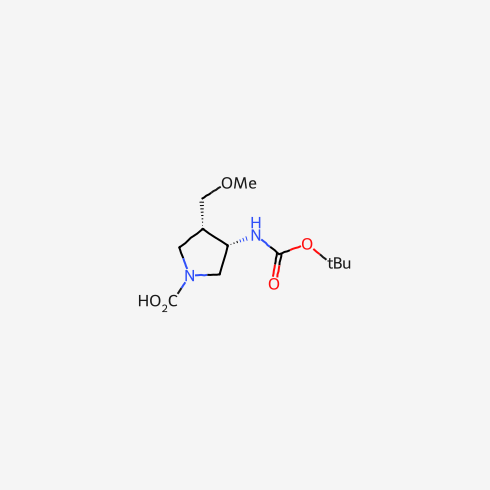 COC[C@H]1CN(C(=O)O)C[C@H]1NC(=O)OC(C)(C)C